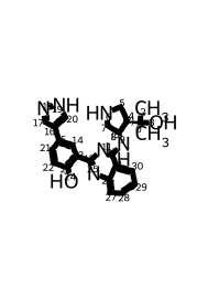 CC(C)(O)[C@@H]1CNC[C@H]1Nc1nc(-c2cc(-c3cn[nH]c3)ccc2O)nc2ccccc12